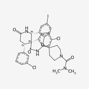 CN(C)C(=O)N1CCC(Oc2ccc(I)cc2[C@H]2NC(=O)C[C@@H](c3cccc(Cl)c3)[C@]23C(=O)Nc2cc(Cl)ccc23)CC1